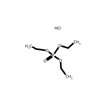 CCOP(=O)(OCC)OCC.Cl